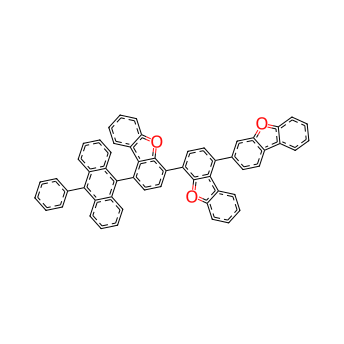 c1ccc(-c2c3ccccc3c(-c3ccc(-c4ccc(-c5ccc6c(c5)oc5ccccc56)c5c4oc4ccccc45)c4oc5ccccc5c34)c3ccccc23)cc1